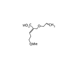 C=CCOCC(=CCCOC)C(=O)O